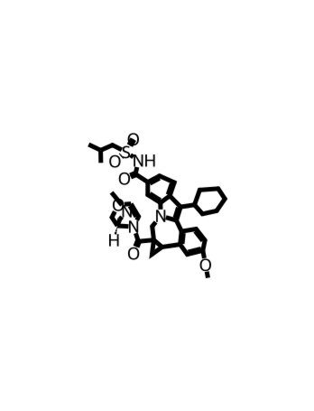 COc1ccc2c(c1)C1CC1(C(=O)N1C=C3OC[C@H]1CN3C)Cn1c-2c(C2CCCCC2)c2ccc(C(=O)NS(=O)(=O)CC(C)C)cc21